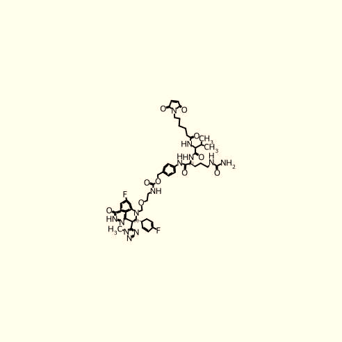 CC(C)C(NC(=O)CCCCCN1C(=O)C=CC1=O)C(=O)N[C@@H](CCCNC(N)=O)C(=O)Nc1ccc(COC(=O)NCCOCN2c3cc(F)cc4c(=O)[nH]nc(c34)C(c3ncnn3C)[C@H]2C2C=CC(F)=CC2)cc1